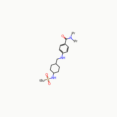 CC(C)N(C(=O)c1ccc(NCC2CCC(NS(=O)(=O)C(C)(C)C)CC2)cc1)C(C)C